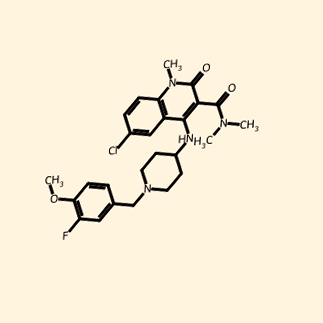 COc1ccc(CN2CCC(Nc3c(C(=O)N(C)C)c(=O)n(C)c4ccc(Cl)cc34)CC2)cc1F